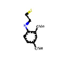 COc1ccc(N=CC=S)c(OC)c1